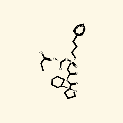 CC(C)[C@@H](O)O[P@](=O)(CCCCc1ccccc1)CC(=O)OC(=O)[C@@]1(C2CCCCC2)CCCN1.CCC(=O)O